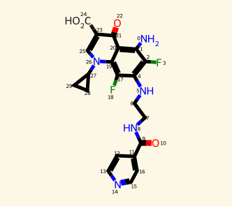 Nc1c(F)c(NCCNC(=O)c2ccncc2)c(F)c2c1c(=O)c(C(=O)O)cn2C1CC1